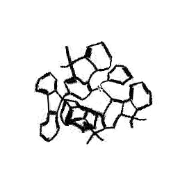 CC1(C)c2ccccc2-c2c(N(c3ccccc3)c3c4c(cc5c3-c3ccccc3C5(C)C)C(C)(C)c3ccccc3-4)cc(C3(c4ccccc4)c4ccccc4-c4ccccc43)cc21